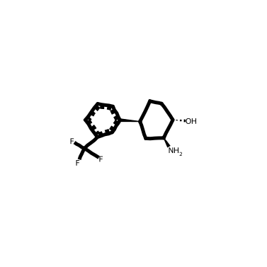 N[C@H]1C[C@@H](c2cccc(C(F)(F)F)c2)CC[C@@H]1O